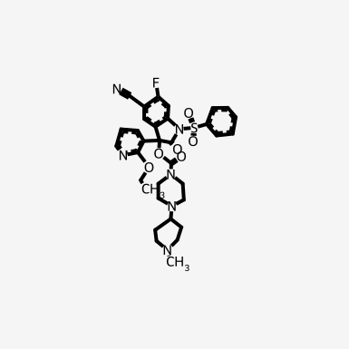 CCOc1ncccc1C1(OC(=O)N2CCN(C3CCN(C)CC3)CC2)C(=O)N(S(=O)(=O)c2ccccc2)c2cc(F)c(C#N)cc21